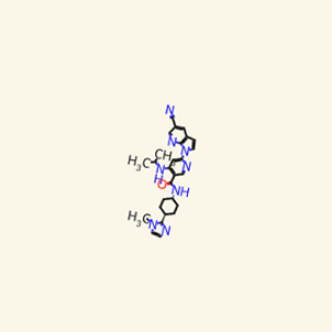 CC(C)Nc1cc(-n2ccc3cc(C#N)cnc32)ncc1C(=O)N[C@H]1CC[C@H](c2nccn2C)CC1